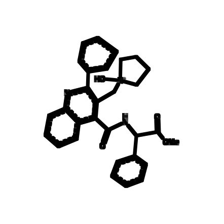 COC(=O)C(NC(=O)c1c(C[N+]2(O)CCCC2)c(-c2ccccc2)nc2ccccc12)c1ccccc1